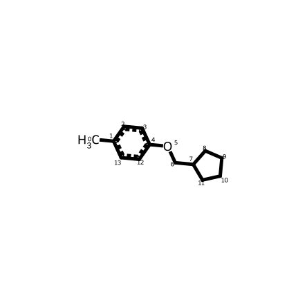 Cc1ccc(OCC2CCCC2)cc1